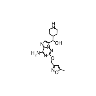 Cc1cc(COc2nc(N)c3ncc(C(O)C4CCNCC4)n3n2)no1